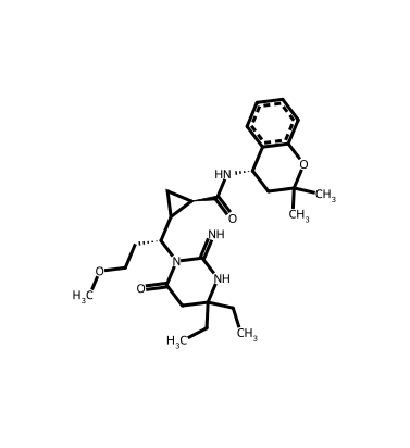 CCC1(CC)CC(=O)N([C@H](CCOC)C2C[C@H]2C(=O)N[C@H]2CC(C)(C)Oc3ccccc32)C(=N)N1